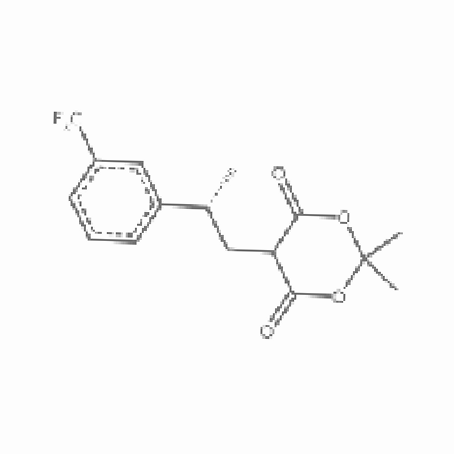 C[C@H](CC1C(=O)OC(C)(C)OC1=O)c1cccc(C(F)(F)F)c1